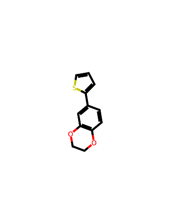 c1csc(-c2ccc3c(c2)OCCO3)c1